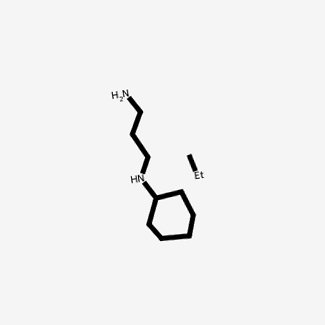 CCC.NCCCNC1CCCCC1